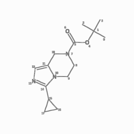 CC(C)(C)OC(=O)N1CCn2c(cnc2C2CC2)C1